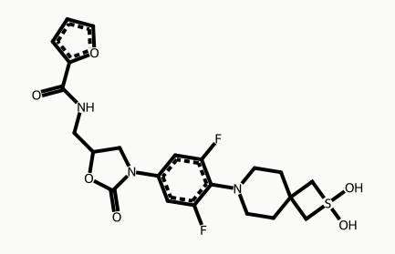 O=C(NCC1CN(c2cc(F)c(N3CCC4(CC3)CS(O)(O)C4)c(F)c2)C(=O)O1)c1ccco1